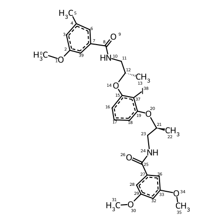 COc1cc(C)cc(C(=O)NC[C@H](C)Oc2cccc(O[C@@H](C)CNC(=O)c3cc(OC)cc(OC)c3)c2I)c1